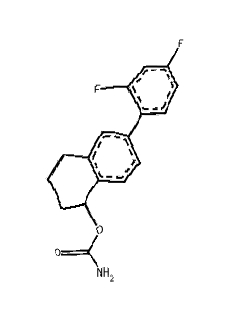 NC(=O)OC1CCCc2cc(-c3ccc(F)cc3F)ccc21